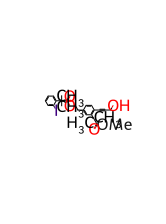 COC(=O)C(C)(C)c1cc(CCOC(=O)C(C)(C)c2ccccc2I)ccc1C#CCO